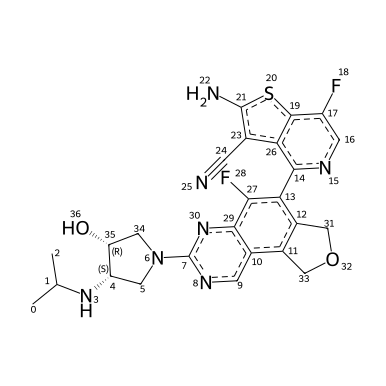 CC(C)N[C@H]1CN(c2ncc3c4c(c(-c5ncc(F)c6sc(N)c(C#N)c56)c(F)c3n2)COC4)C[C@H]1O